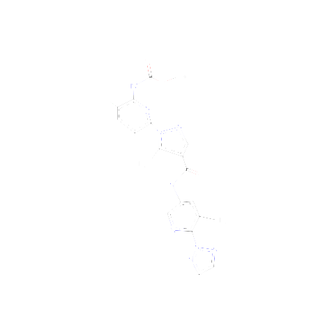 CC(C)(C)OC(=O)Nc1nc(-n2ncc(C(=O)Nc3cnc(-n4nccn4)c(C(F)(F)F)c3)c2C(F)(F)F)ccc1F